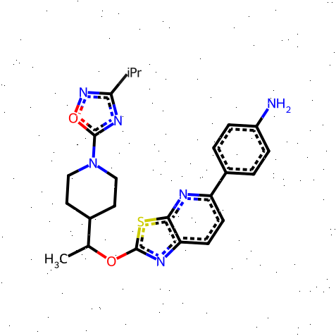 CC(C)c1noc(N2CCC(C(C)Oc3nc4ccc(-c5ccc(N)cc5)nc4s3)CC2)n1